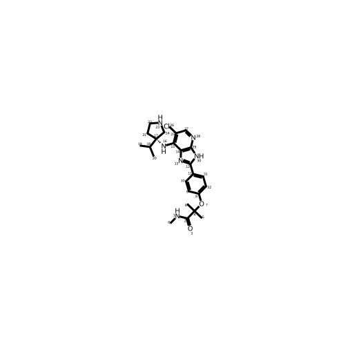 CNC(=O)C(C)(C)Oc1ccc(-c2nc3c(N[C@]4(C(C)C)CCNC4)c(Cl)cnc3[nH]2)cc1